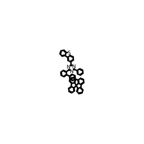 c1ccc(-c2nc(-c3ccc4sc5ccccc5c4c3)nc(-c3ccccc3-c3ccc(-c4cccc5c4C4(c6ccccc6-c6ccccc64)c4ccccc4-5)cc3)n2)cc1